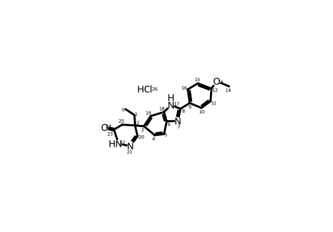 CCC1(c2ccc3nc(-c4ccc(OC)cc4)[nH]c3c2)C=NNC(=O)C1.Cl